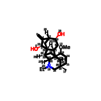 C=C1[C@H]2C[C@@]3([C@@H]1O)[C@@H](C[C@H]2O)[C@@]12[C@@H](OC)CC[C@@]4(C)CN(CC)[C@@H]1[C@@H]3C[C@H]42